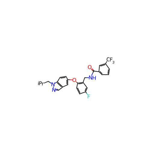 CC(C)Cn1ncc2cc(Oc3ccc(F)cc3CNC(=O)c3cccc(C(F)(F)F)c3)ccc21